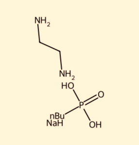 CCCCP(=O)(O)O.NCCN.[NaH]